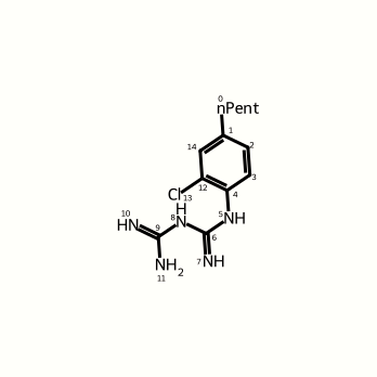 CCCCCc1ccc(NC(=N)NC(=N)N)c(Cl)c1